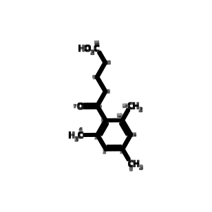 Cc1cc(C)c(C(=O)CCCC(=O)O)c(C)c1